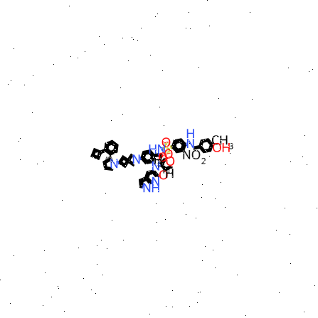 CC1(O)CCC(CNc2ccc(S(=O)(=O)NC(=O)c3ccc(N4CC5(CC(N6CCC[C@H]6c6ccccc6C6CCC6)C5)C4)cc3N3c4cc5cc[nH]c5nc4O[C@H]4COC[C@@H]43)cc2[N+](=O)[O-])CC1